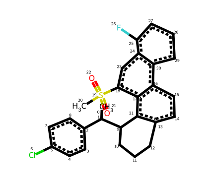 CC(c1ccc(Cl)cc1)C1CCCc2ccc3c(c(S(C)(=O)=O)cc4c(F)cccc43)c21